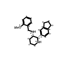 COc1ccccc1CN[C@H]1CCCN[C@H]1c1ccc2c(c1)CCC2